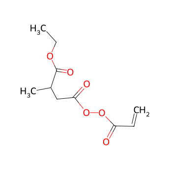 C=CC(=O)OOC(=O)CC(C)C(=O)OCC